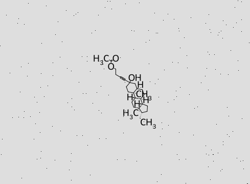 CC[C@H]1CC[C@H]2[C@@H]3CC[C@@H]4C[C@@](O)(C#CCCOC(C)=O)CC[C@]4(C)[C@H]3CC[C@]12C